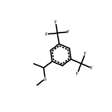 CSC(C)c1cc(C(F)(F)F)cc(C(F)(F)F)c1